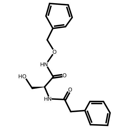 O=C(Cc1ccccc1)N[C@@H](CO)C(=O)NOCc1ccccc1